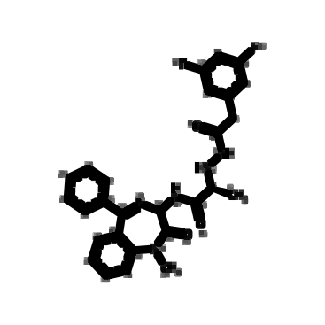 C[C@H](NNC(=O)Cc1cc(F)cc(F)c1)C(=O)NC1N=C(c2ccccc2)c2ccccc2N(C)C1=O